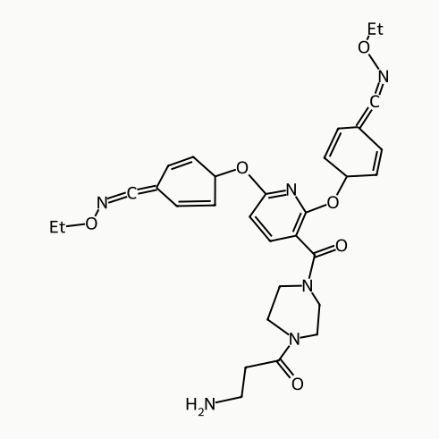 CCON=C=C1C=CC(Oc2ccc(C(=O)N3CCN(C(=O)CCN)CC3)c(OC3C=CC(=C=NOCC)C=C3)n2)C=C1